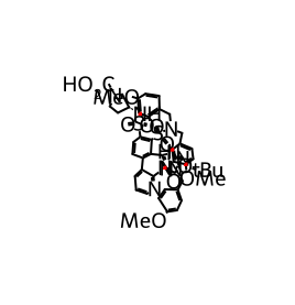 COc1ccc(CN(Cc2ccc(OC)cc2)S(=O)(=O)c2c(S(=O)(=O)N[C@@H]3CCN(C(=O)O)C3)ccc(-c3cccnc3NC(=O)OC(C)(C)C)c2-c2nnn(Cc3ccc(OC)cc3)n2)cc1